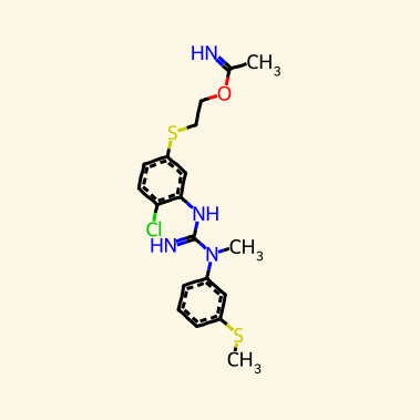 CSc1cccc(N(C)C(=N)Nc2cc(SCCOC(C)=N)ccc2Cl)c1